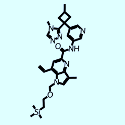 C=Cc1cc(C(=O)Nc2cncc(C3(c4nncn4C)CC(C)C3)c2)nc2c(C)cn(COCC[Si](C)(C)C)c12